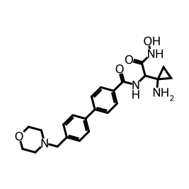 NC1(C(NC(=O)c2ccc(-c3ccc(CN4CCOCC4)cc3)cc2)C(=O)NO)CC1